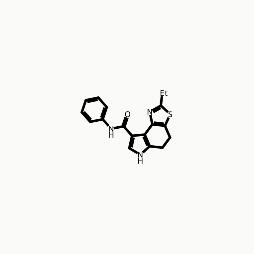 CCc1nc2c(s1)CCc1[nH]cc(C(=O)Nc3ccccc3)c1-2